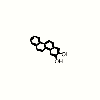 Oc1cc2ccc3c4ccccc4ccc3c2cc1O